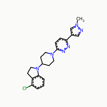 Cn1cc(-c2ccc(N3CCC(N4CCc5c(Cl)cccc54)CC3)nn2)cn1